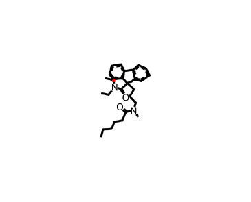 CCCCCC(=O)N(C)CCCC1(C(=O)N(CC)CC)c2ccccc2-c2ccccc21